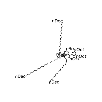 CCCCCCCCCCCCCCCCCCCCCCC#CC(=C=[N+]=[N-])C(CCCCCCCC)=C(c1cc(CCCC)cc(CCCC)c1)c1cc(CCCCCCCC)cc(CCCCCCCC)c1.CCCCCCCCCCCCCCCCCCCCCCCCCCCC[CH2][Ni][CH2]CCCCCCCCCCCCCCCCCCCCCCCCCCCC